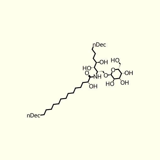 CCCCCCCCCCCCCCCCCCCCCC[C@@H](O)C(=O)N[C@@H](CO[C@H]1O[C@H](CO)[C@H](O)[C@H](O)[C@H]1O)[C@H](O)[C@H](O)CCCCCCCCCCCCC